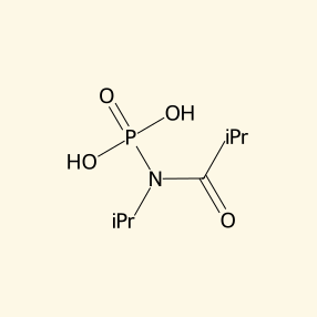 CC(C)C(=O)N(C(C)C)P(=O)(O)O